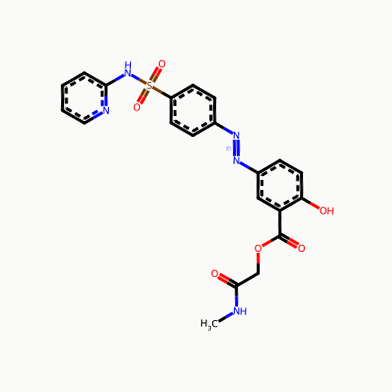 CNC(=O)COC(=O)c1cc(/N=N/c2ccc(S(=O)(=O)Nc3ccccn3)cc2)ccc1O